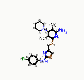 [C-]#[N+]c1c(N)nc(SCc2csc(Nc3ccc(F)cc3)n2)c(C#N)c1N1CCCCC1